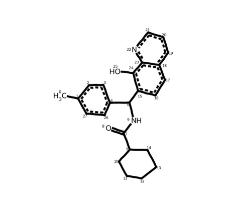 Cc1ccc(C(NC(=O)C2CCCCC2)c2ccc3cccnc3c2O)cc1